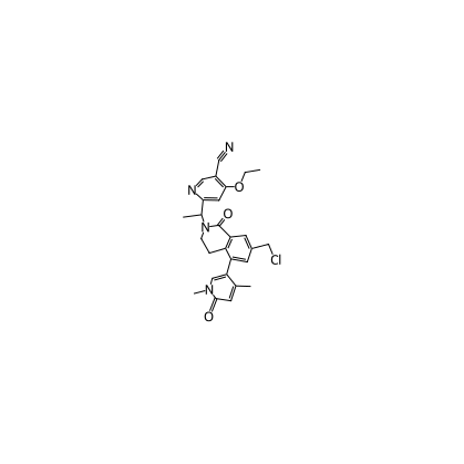 CCOc1cc(C(C)N2CCc3c(cc(CCl)cc3-c3cn(C)c(=O)cc3C)C2=O)ncc1C#N